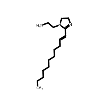 CCCCCCCCCC=CC1=NCCN1CCN